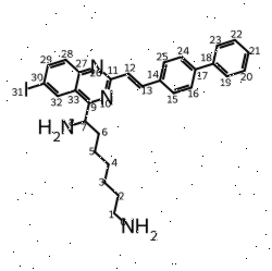 NCCCCCCC(N)c1nc(/C=C/c2ccc(-c3ccccc3)cc2)nc2ccc(I)cc12